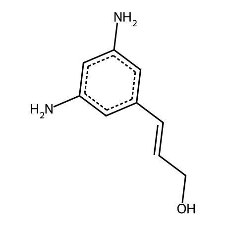 Nc1cc(N)cc(C=CCO)c1